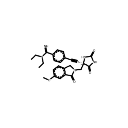 CCN(CC)C(=N)c1ccc(C#C[C@]2(CN3Cc4ccc(OC)cc4C3=O)NC(=O)NC2=O)cc1